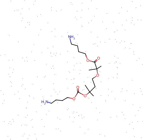 CC(C)(CCOC(C)(C)C(=O)OCCCCN)OC(=O)OCCCCN